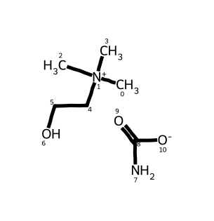 C[N+](C)(C)CCO.NC(=O)[O-]